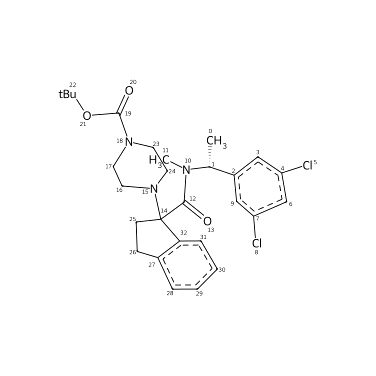 C[C@H](c1cc(Cl)cc(Cl)c1)N(C)C(=O)C1(N2CCN(C(=O)OC(C)(C)C)CC2)CCc2ccccc21